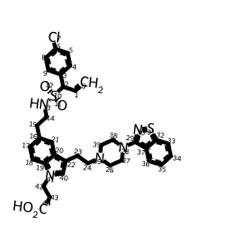 C=CC(c1ccc(Cl)cc1)S(=O)(=O)NCCc1ccc2c(c1)c(CCN1CCN(c3nsc4ccccc34)CC1)cn2CCC(=O)O